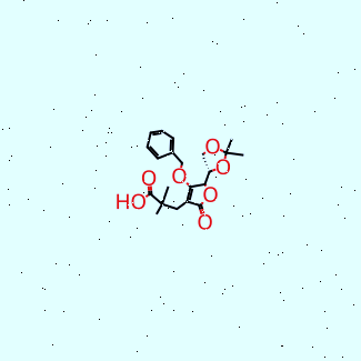 CC1(C)OC[C@@H]([C@H]2OC(=O)C(CC(C)(C)C(=O)O)=C2OCc2ccccc2)O1